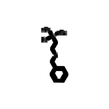 CCCC[N+](CC)(CCC)CCSCc1ccccc1